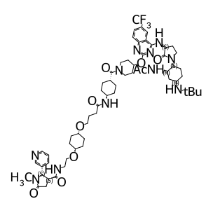 CC(=O)N[C@@H]1C[C@H](NC(C)(C)C)CC[C@@H]1N1CC[C@H](Nc2nc(OC3CCN(C(=O)[C@H]4CC[C@H](NC(=O)CCCO[C@H]5CC[C@H](OCCNC(=O)[C@H]6CC(=O)N(C)[C@@H]6c6cccnc6)CC5)CC4)CC3)nc3ccc(C(F)(F)F)cc23)C1=O